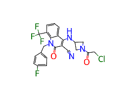 N#Cc1c(NC2CN(C(=O)CCl)C2)c2cccc(C(F)(F)F)c2n(Cc2ccc(F)cc2)c1=O